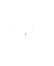 CC(C=O)C(=O)OC1CC1